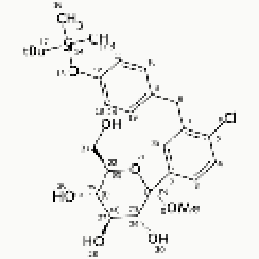 CO[C@@]1(c2ccc(Cl)c(Cc3ccc(O[Si](C)(C)C(C)(C)C)cc3)c2)O[C@H](CO)[C@@H](O)[C@H](O)[C@H]1O